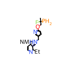 CCC1=NC=CC(NC)/C1=C\NCc1ccc(OCC(C)(F)P)nc1